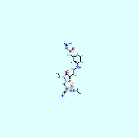 CCNC(=O)C(C#N)CC1SC(CCNc2cccc(NC(=O)CN(C)C)c2)C(=O)N1CC